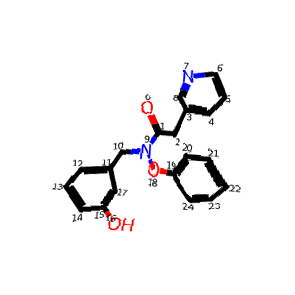 O=C(Cc1cccnc1)N(Cc1cccc(O)c1)Oc1ccccc1